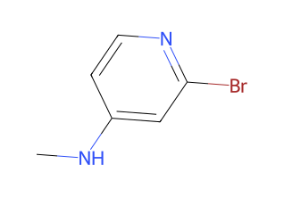 CNc1ccnc(Br)c1